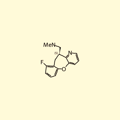 CNC[C@@H]1Cc2c(F)cccc2Oc2cccnc21